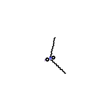 CCCCCCCCCCCCCCCC[N+](CCCCCCCCCCCCCCCC)(c1ccccc1)c1ccccc1.[I-]